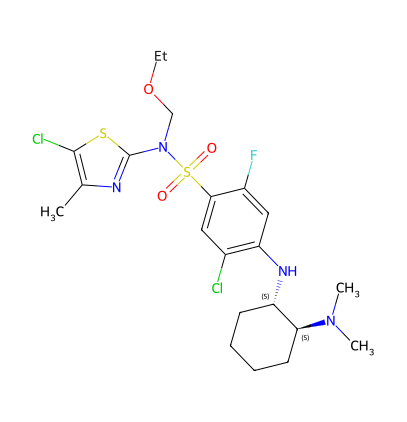 CCOCN(c1nc(C)c(Cl)s1)S(=O)(=O)c1cc(Cl)c(N[C@H]2CCCC[C@@H]2N(C)C)cc1F